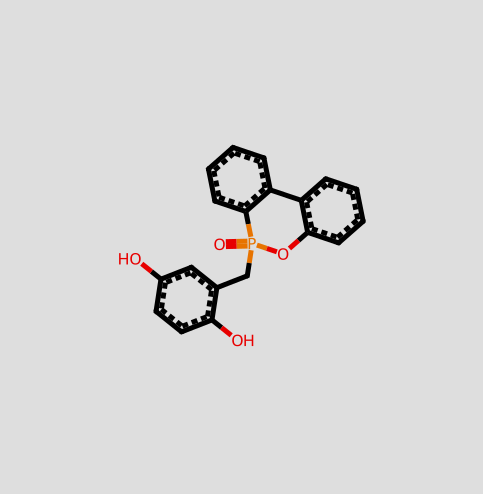 O=P1(Cc2cc(O)ccc2O)Oc2ccccc2-c2ccccc21